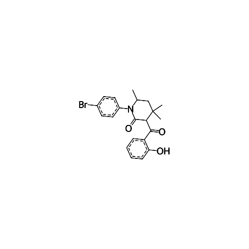 CC1CC(C)(C)C(C(=O)c2ccccc2O)C(=O)N1c1ccc(Br)cc1